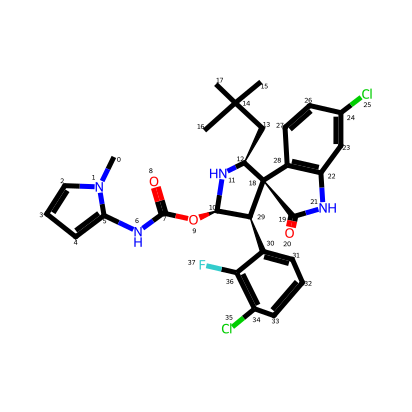 Cn1cccc1NC(=O)O[C@H]1N[C@@H](CC(C)(C)C)[C@@]2(C(=O)Nc3cc(Cl)ccc32)[C@H]1c1cccc(Cl)c1F